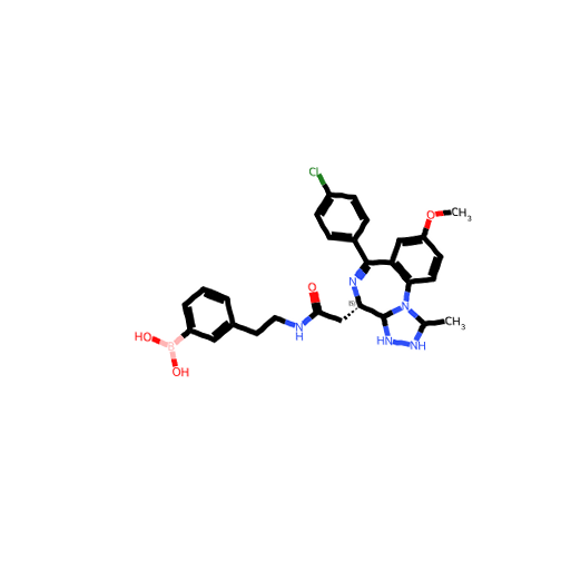 COc1ccc2c(c1)C(c1ccc(Cl)cc1)=N[C@@H](CC(=O)NCCc1cccc(B(O)O)c1)C1NNC(C)N21